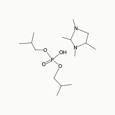 CC(C)COP(=O)(O)OCC(C)C.CC1CN(C)C(C)N1C